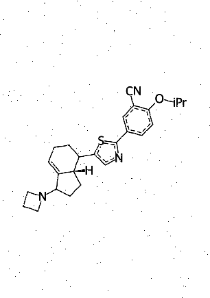 CC(C)Oc1ccc(-c2ncc(C3CCC=C4C(N5CCC5)CC[C@H]43)s2)cc1C#N